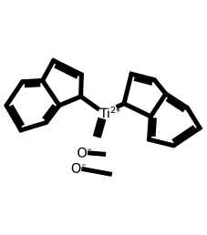 C[O-].C[O-].[CH2]=[Ti+2]([CH]1C=Cc2ccccc21)[CH]1C=Cc2ccccc21